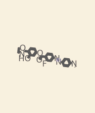 CN(C)c1ccc(/N=N/c2ccc(C(=O)Oc3ccc(C4=NCCO4)c(O)c3)c(F)c2)cc1